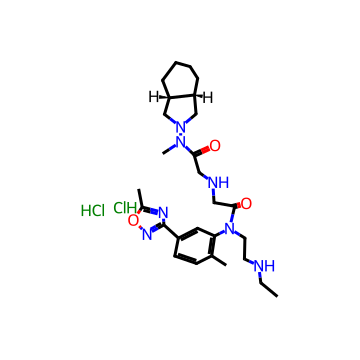 CCNCCN(C(=O)CNCC(=O)N(C)N1C[C@H]2CCCC[C@H]2C1)c1cc(-c2noc(C)n2)ccc1C.Cl.Cl